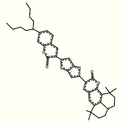 CCCCN(CCCC)c1ccc2cc(-c3cc4sc(-c5cc6cc7c8c(c6oc5=O)C(C)(C)CCN8CCC7(C)C)cc4s3)c(=O)oc2c1